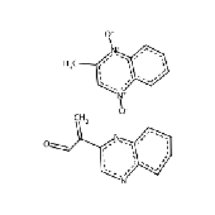 C=C(C=O)c1cnc2ccccc2n1.Cc1c[n+]([O-])c2ccccc2[n+]1[O-]